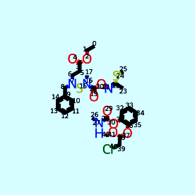 CCOC(=O)CCN(Cc1ccccc1)SN(C)C(=O)O/N=C(/C)SC.CNC(=O)Oc1ccccc1OC(CCl)OC